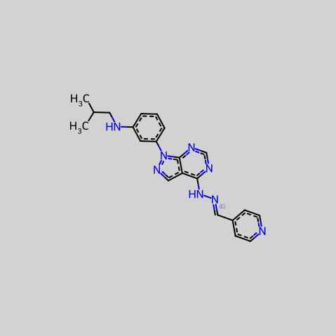 CC(C)CNc1cccc(-n2ncc3c(N/N=C/c4ccncc4)ncnc32)c1